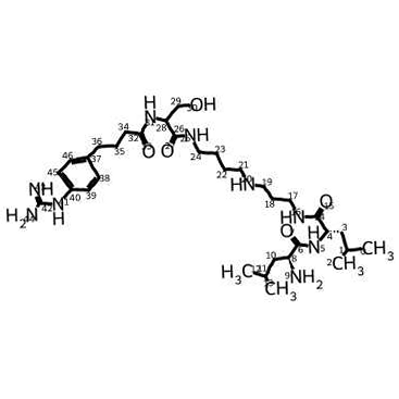 CC(C)C[C@H](NC(=O)[C@@H](N)CC(C)C)C(=O)NCCCNCCCCNC(=O)C(CO)NC(=O)CCCc1ccc(NC(=N)N)cc1